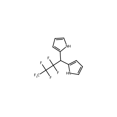 FC(F)(F)C(F)(F)C(F)(F)C(c1ccc[nH]1)c1ccc[nH]1